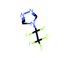 FC(F)(F)C(F)(F)n1cnnc1